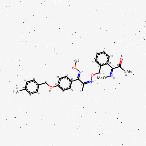 CCON=C(C(C)=NOCc1ccccc1C(=NOC)C(=O)NC)c1ccc(OCc2ccc(C(F)(F)F)cc2)cc1